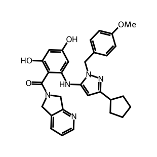 COc1ccc(Cn2nc(C3CCCC3)cc2Nc2cc(O)cc(O)c2C(=O)N2Cc3cccnc3C2)cc1